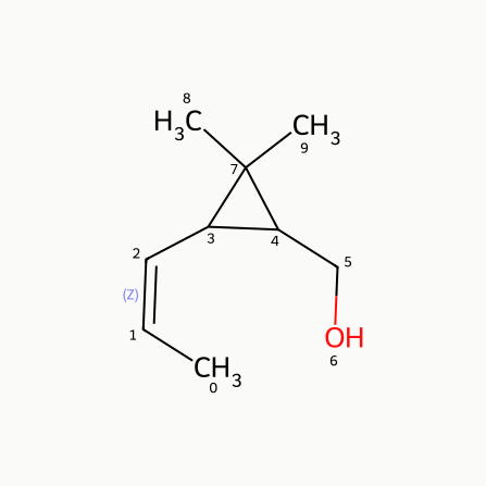 C/C=C\C1C(CO)C1(C)C